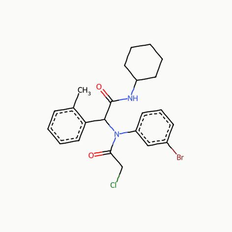 Cc1ccccc1C(C(=O)NC1CCCCC1)N(C(=O)CCl)c1cccc(Br)c1